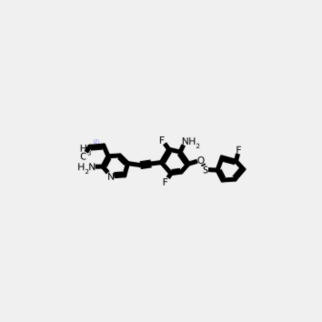 C/C=C\c1cc(C#Cc2c(F)cc(OSc3cccc(F)c3)c(N)c2F)cnc1N